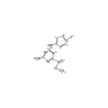 COC(=O)c1nc(N)nc(Nc2ccc(I)cc2)n1